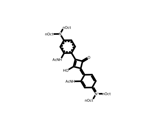 CCCCCCCCN(CCCCCCCC)c1ccc(C2=C(O)/C(=C3/C=CC(=[N+](CCCCCCCC)CCCCCCCC)C=C3NC(C)=O)C2=O)c(NC(C)=O)c1